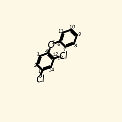 Clc1ccc(Oc2[c]cccc2)c(Cl)c1